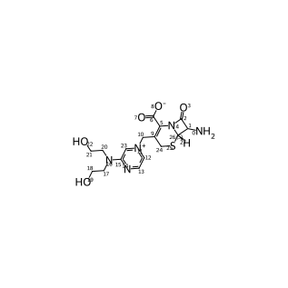 NC1C(=O)N2C(C(=O)[O-])=C(C[n+]3ccnc(N(CCO)CCO)c3)CS[C@@H]12